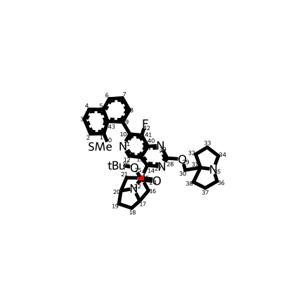 CSc1cccc2cccc(-c3ncc4c(N5CC6CCC(C5)N6C(=O)OC(C)(C)C)nc(OCC56CCCN5CCC6)nc4c3F)c12